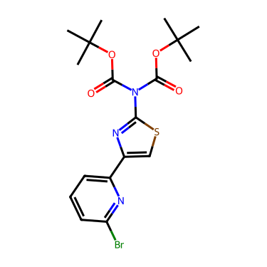 CC(C)(C)OC(=O)N(C(=O)OC(C)(C)C)c1nc(-c2cccc(Br)n2)cs1